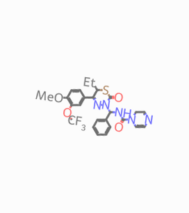 CCC1SC(=O)N(C(NC(=O)N2C=CN=CC2)c2ccccc2)N=C1c1ccc(OC)c(OC(F)(F)F)c1